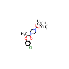 C[C@@H](Oc1ccc(Cl)cc1)C(=O)N1CCN(C(=O)OC(C)(C)C)CC1